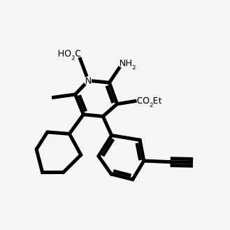 C#Cc1cccc(C2C(C(=O)OCC)=C(N)N(C(=O)O)C(C)=C2C2CCCCC2)c1